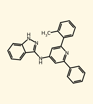 Cc1ccccc1-c1cc(Nc2n[nH]c3ccccc23)cc(-c2ccccc2)n1